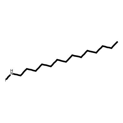 CCCCCCCCCCCCCCNI